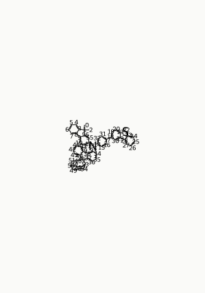 CC1(C)c2ccccc2-c2ccc(N(c3ccc(-c4ccc5sc6ccccc6c5c4)cc3)c3cccc4c3-c3ccccc3C43C4CC5CC(C4)CC3C5)cc21